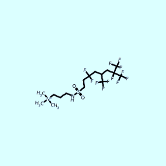 C[N+](C)(C)CCCNS(=O)(=O)CCC(F)(F)CC(CC(F)(C(F)(F)F)C(F)(F)F)C(F)(F)F